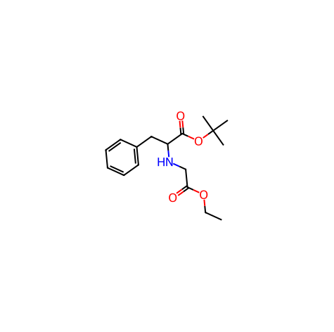 CCOC(=O)CNC(Cc1ccccc1)C(=O)OC(C)(C)C